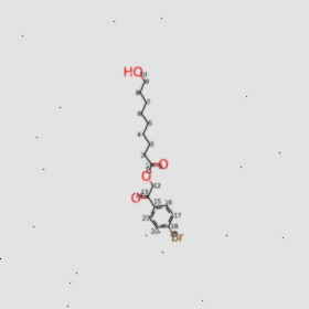 O=C(CCCCCCCCO)OCC(=O)c1ccc(Br)cc1